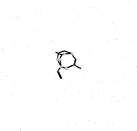 C=C[Si]12OC(C)CN(CC(C)O1)CC(C)O2